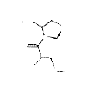 CC(=O)SCC(C)C(=O)N1CSCC1C(=O)O